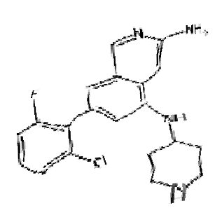 Nc1cc2c(NC3CCNCC3)cc(-c3c(F)cccc3Cl)cc2cn1